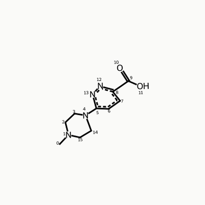 CN1CCN(c2ccc(C(=O)O)nn2)CC1